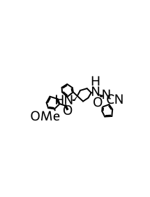 COc1ccccc1C(=O)NC[C@]1(c2ccccc2)CC[C@H](N/C(=N/C#N)Oc2ccccc2)CC1